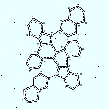 c1ccc2cc(-n3c4cccnc4c4c5ccccc5c5c(c6ccccc6c6c7ncccc7n(-c7ccc8ccccc8c7)c65)c43)ccc2c1